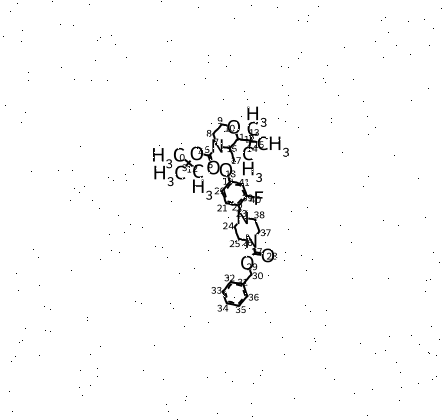 CC(C)(C)OC(=O)N1CCOC(C(C)(C)C)C1COc1ccc(N2CCN(C(=O)OCc3ccccc3)CC2)c(F)c1